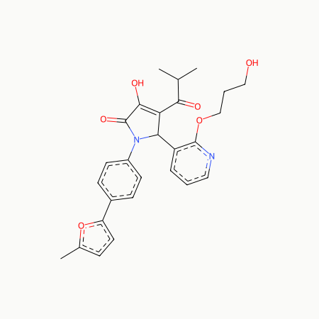 Cc1ccc(-c2ccc(N3C(=O)C(O)=C(C(=O)C(C)C)C3c3cccnc3OCCCO)cc2)o1